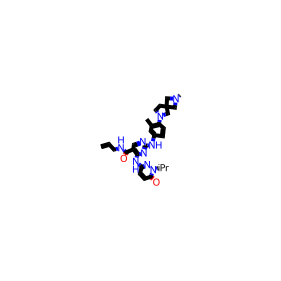 C=CCNC(=O)c1cnc(Nc2ccc(N3CCC4(CN(C)C4)C3)c(C)c2)nc1Nc1ccc(=O)n(C(C)C)n1